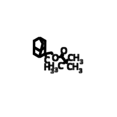 CC(C)(C)C(=O)OCC1(C)C2CC3CC(C2)CC1C3